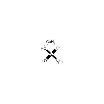 CS(=O)(=O)O.[GaH3]